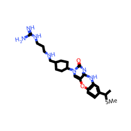 CSC(C)c1ccc2c(c1)Nc1nc(=O)n(C3CCC(CNCCCNC(=N)N)CC3)cc1O2